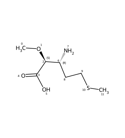 CO[C@H](C(=O)O)[C@H](N)CCSC